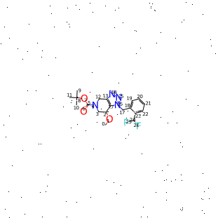 COC1CN(C(=O)OC(C)(C)C)Cc2nnn(Cc3ccccc3C(F)F)c21